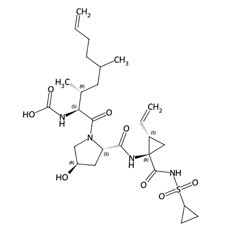 C=CCCC(C)C[C@@H](C)[C@H](NC(=O)O)C(=O)N1C[C@H](O)C[C@H]1C(=O)N[C@]1(C(=O)NS(=O)(=O)C2CC2)C[C@H]1C=C